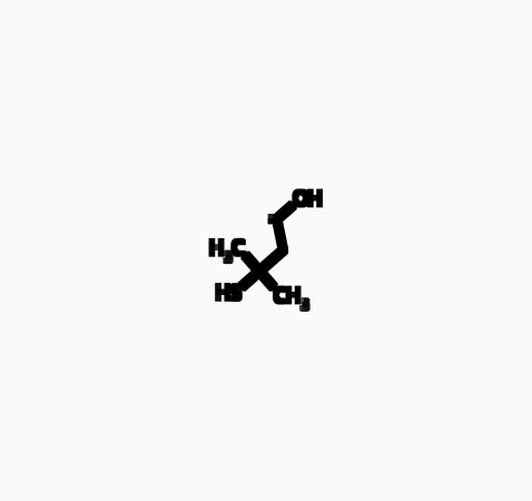 CC(C)(S)C[C]O